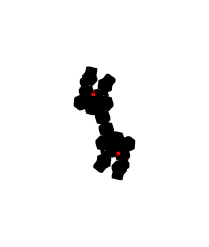 C1=C(Sc2ccc(C3(c4ccc(Sc5ccc6c(c5)CC6)cc4)c4ccccc4-c4ccc(N(c5ccccc5)c5ccc(-c6ccc(N(c7ccccc7)c7ccc8c(c7)C(c7ccc(Sc9ccc%10c(c9)CC%10)cc7)(c7ccc(Sc9ccc%10c(c9)CC%10)cc7)c7ccccc7-8)cc6)cc5)cc43)cc2)CC2CCC2=C1